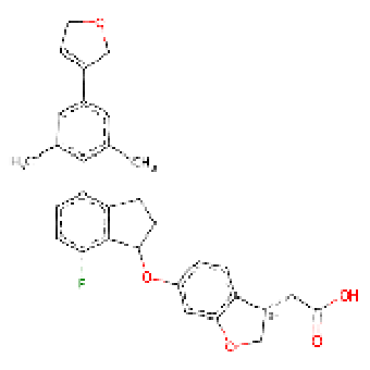 Cc1cc(C2=CCOC2)cc(C)c1-c1ccc(F)c2c1CCC2Oc1ccc2c(c1)OC[C@H]2CC(=O)O